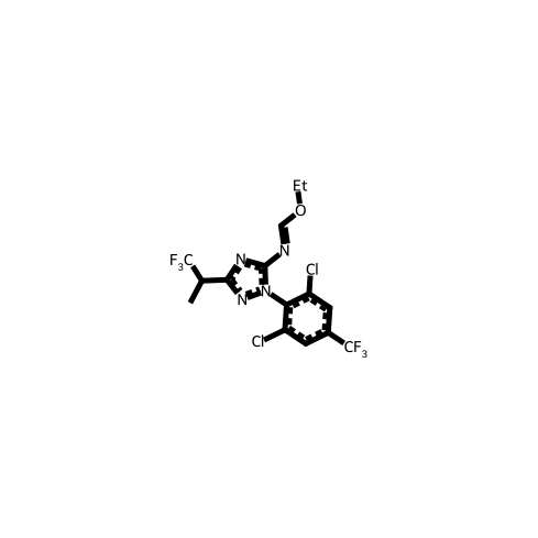 CCOC=Nc1nc(C(C)C(F)(F)F)nn1-c1c(Cl)cc(C(F)(F)F)cc1Cl